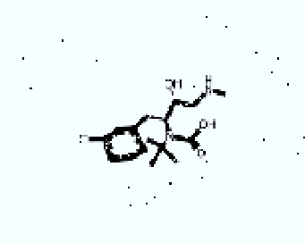 CNC[C@@H](O)[C@H](Cc1cccc(Cl)c1)N(C(=O)O)C(C)(C)C